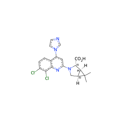 CC1(C)[C@@H]2[C@@H](C(=O)O)N(c3cc(-n4ccnc4)c4ccc(Cl)c(Cl)c4n3)C[C@@H]21